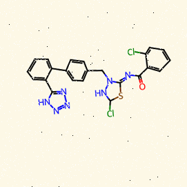 O=C(N=C1SC(Cl)NN1Cc1ccc(-c2ccccc2-c2nnn[nH]2)cc1)c1ccccc1Cl